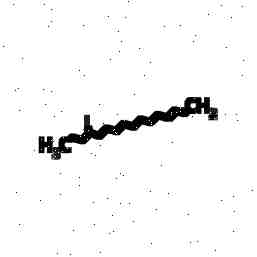 C=CC=CCCCCCCCCC(I)CCC